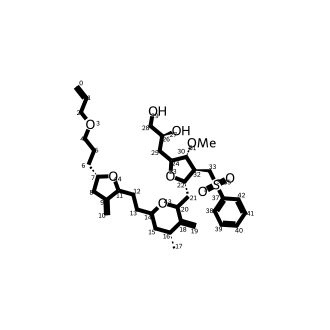 C=CCOCCC[C@H]1CC(=C)C(CCC2C[C@@H](C)C(=C)C(C[C@@H]3OC(C[C@H](O)CO)[C@H](OC)[C@H]3CS(=O)(=O)c3ccccc3)O2)O1